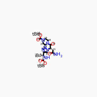 CCC(C)[C@H](NC(=O)OC(C)(C)C)c1cn([C@@H](CC(N)=O)C(=O)N2CCN(C(=O)OC(C)(C)C)CC2)nn1